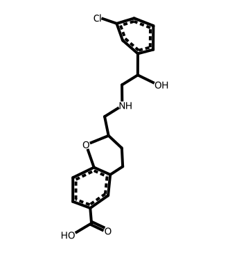 O=C(O)c1ccc2c(c1)CCC(CNCC(O)c1cccc(Cl)c1)O2